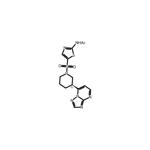 CC(=O)Nc1ncc(S(=O)(=O)N2CCC[C@H](c3ccnc4ncnn34)C2)s1